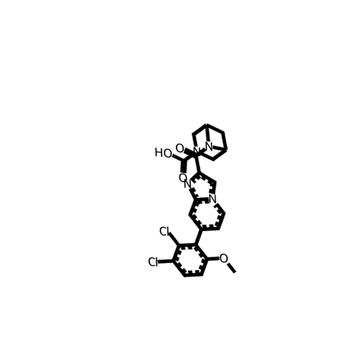 COc1ccc(Cl)c(Cl)c1-c1ccn2cc(C(=O)N3C4CC3CN(C(=O)O)C4)nc2c1